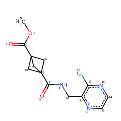 COC(=O)C12CC(C(=O)NCc3nccnc3Cl)(C1)C2